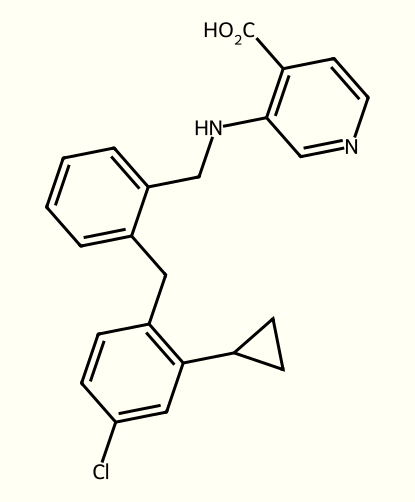 O=C(O)c1ccncc1NCc1ccccc1Cc1ccc(Cl)cc1C1CC1